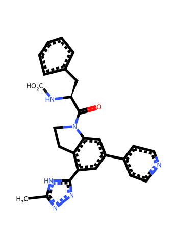 Cc1nnc(-c2cc(-c3ccncc3)cc3c2CCN3C(=O)[C@H](Cc2ccccc2)NC(=O)O)[nH]1